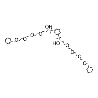 CC(C)(c1cccc(C(C)(C)C(O)CCOCCOCCOCCOCc2ccccc2)c1)C(O)CCOCCOCCOCCOCc1ccccc1